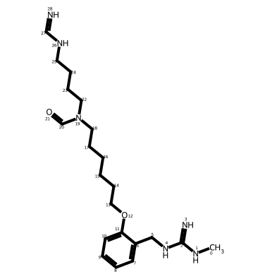 CNC(=N)NCc1ccccc1OCCCCCCN(C=O)CCCCNC=N